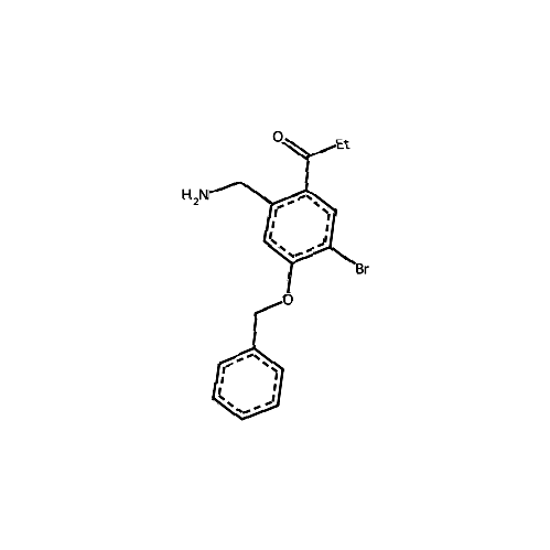 CCC(=O)c1cc(Br)c(OCc2ccccc2)cc1CN